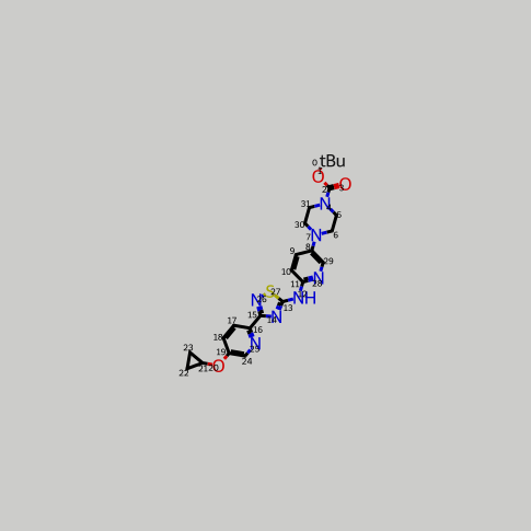 CC(C)(C)OC(=O)N1CCN(c2ccc(Nc3nc(-c4ccc(OC5CC5)cn4)ns3)nc2)CC1